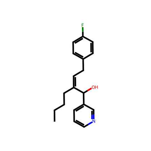 CCCCC(=CCc1ccc(F)cc1)C(O)c1cccnc1